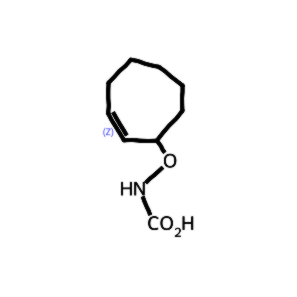 O=C(O)NOC1/C=C\CCCCC1